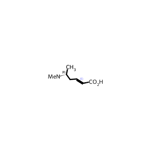 CN[C@H](C)C/C=C/C(=O)O